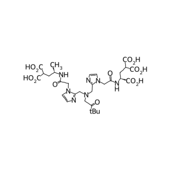 C[C@H](CC(C(=O)O)C(=O)O)NC(=O)Cn1ccnc1CN(CC(=O)C(C)(C)C)Cc1nccn1CC(=O)N[C@@H](CC(C(=O)O)C(=O)O)C(=O)O